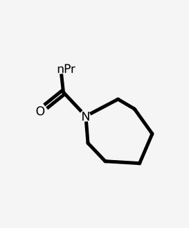 CCCC(=O)N1CCCCCC1